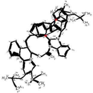 C=C1CC2C(CCc3ccc4c(oc5cc(CC(C)(C)C)ccc54)c3-c3n(-c4ccc(C(C)(C)C)cc4-c4ccccc4)c4ccccc4[n+]31)c1ccccc1-c1cc(CC(C)(C)C)c([Si](C)(C)C)c[n+]12